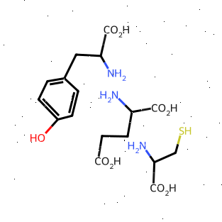 NC(CCC(=O)O)C(=O)O.NC(CS)C(=O)O.NC(Cc1ccc(O)cc1)C(=O)O